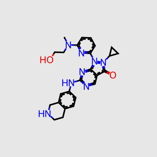 CN(CCO)c1cccc(-n2c3nc(Nc4ccc5c(c4)CNCC5)ncc3c(=O)n2C2CC2)n1